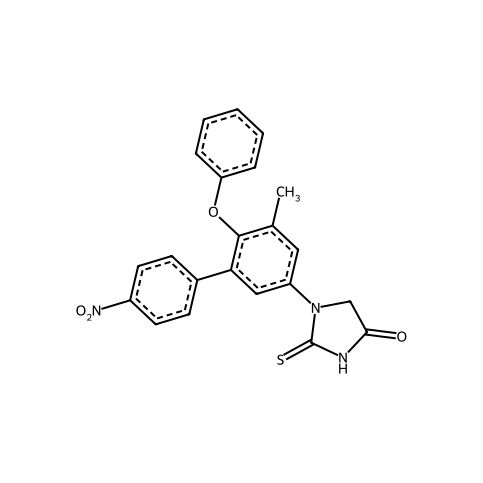 Cc1cc(N2CC(=O)NC2=S)cc(-c2ccc([N+](=O)[O-])cc2)c1Oc1ccccc1